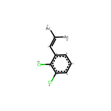 CC(=O)C(=Cc1cccc(Cl)c1Cl)C(C)=O